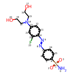 NS(=O)(=O)c1ccc(N=Nc2ccc(N(CCO)CCO)cc2F)cc1